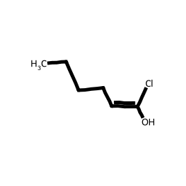 CCCCC=C(O)Cl